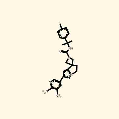 CC(C)(NC(=O)N1CC2(CCn3nc(-c4cnc(N)c(C(F)(F)F)c4)cc32)C1)c1ccc(F)cc1